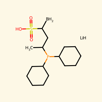 BC(CC(C)P(C1CCCCC1)C1CCCCC1)S(=O)(=O)O.[LiH]